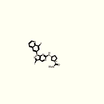 CNC(=O)[C@@H]1CC[C@@H](Nc2ncc3c(I)nn(-c4cc(F)c5ncccc5c4)c3n2)C1